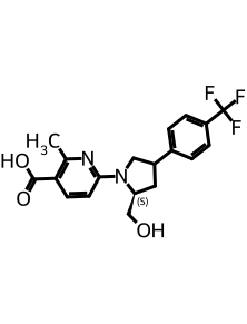 Cc1nc(N2CC(c3ccc(C(F)(F)F)cc3)C[C@H]2CO)ccc1C(=O)O